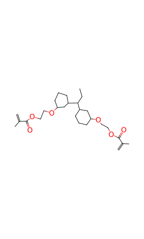 C=C(C)C(=O)OCCOC1CCCC(C(CC)C2CCCC(OCCOC(=O)C(=C)C)C2)C1